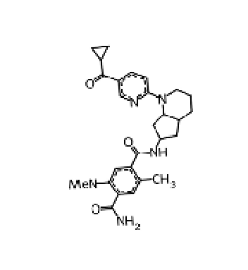 CNc1cc(C(=O)NC2CC3CCCN(c4ccc(C(=O)C5CC5)cn4)C3C2)c(C)cc1C(N)=O